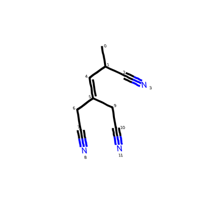 CC(C#N)C=C(CC#N)CC#N